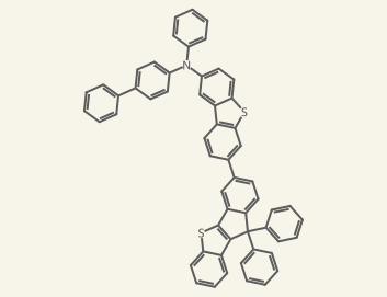 c1ccc(-c2ccc(N(c3ccccc3)c3ccc4sc5cc(-c6ccc7c(c6)-c6sc8ccccc8c6C7(c6ccccc6)c6ccccc6)ccc5c4c3)cc2)cc1